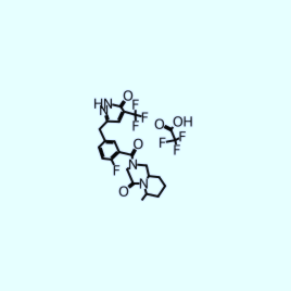 CC1CCCC2CN(C(=O)c3cc(Cc4cc(C(F)(F)F)c(=O)[nH]n4)ccc3F)CC(=O)N12.O=C(O)C(F)(F)F